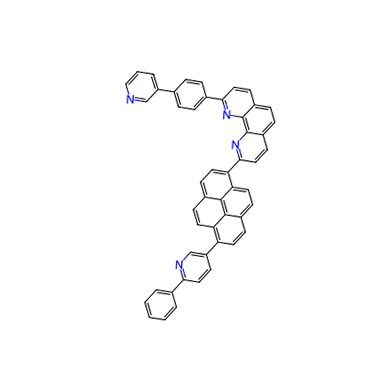 c1ccc(-c2ccc(-c3ccc4ccc5c(-c6ccc7ccc8ccc(-c9ccc(-c%10cccnc%10)cc9)nc8c7n6)ccc6ccc3c4c65)cn2)cc1